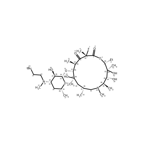 CC[C@H]1OC(=O)[C@@](C)(F)C(=O)[C@H](C)[C@@H](O[C@@H]2O[C@H](C)C[C@H](N(C)CCC(C)(C)C)[C@H]2O)[C@](C)(O)C[C@@H](C)CN(C)[C@H](C)[C@@H](O)[C@]1(C)O